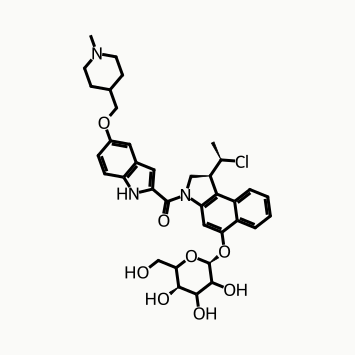 C[C@@H](Cl)[C@@H]1CN(C(=O)c2cc3cc(OCC4CCN(C)CC4)ccc3[nH]2)c2cc(O[C@@H]3OC(CO)[C@H](O)C(O)C3O)c3ccccc3c21